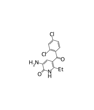 CCc1[nH]c(=O)c(N)cc1C(=O)c1ccc(Cl)cc1Cl